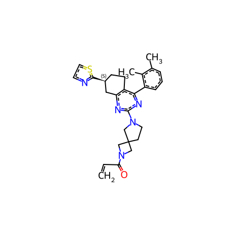 C=CC(=O)N1CC2(CCN(c3nc4c(c(-c5cccc(C)c5C)n3)CC[C@H](c3nccs3)C4)C2)C1